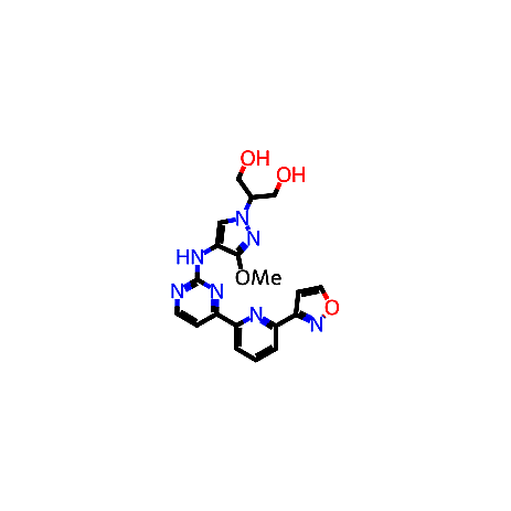 COc1nn(C(CO)CO)cc1Nc1nccc(-c2cccc(-c3ccon3)n2)n1